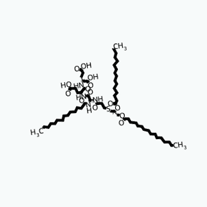 CCCCCCCCCCCCCCCC(=O)OC[C@H](CSCCC(=O)N[C@@H](NC(=O)CCCCCCCCCCCCC)C(=O)NC(CCC(=O)O)C(=O)N[C@H](CCC(=O)O)C(=O)O)OC(=O)CCCCCCCCCCCCCCC